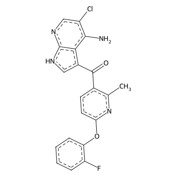 Cc1nc(Oc2ccccc2F)ccc1C(=O)c1c[nH]c2ncc(Cl)c(N)c12